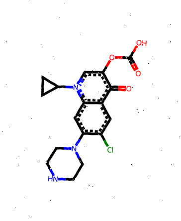 O=C(O)Oc1cn(C2CC2)c2cc(N3CCNCC3)c(Cl)cc2c1=O